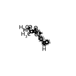 CC(=O)NC1C(C)C2CC1C1C(=O)N(C[C@H]3C[C@@H]3CN3CCC(c4c[nH]c5ccccc45)CC3)C(=O)C21